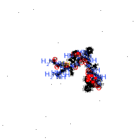 CCCC[C@@H](C(=O)N(C)[C@@H](CCCC)C(=O)N[C@@H](CCCNC(=N)N)C(=O)N[C@@H](CS)C(=O)NCC(N)=O)N(C)C(=O)[C@H](Cc1c[nH]c2ccccc12)NC(=O)[C@H](CO)NC(=O)[C@H](Cc1c[nH]c2ccccc12)NC(=O)CN(C)C(=O)[C@H](CC(C)C)NC(=O)[C@H](Cc1cnc[nH]1)NC(=O)[C@@H]1CCCN1C(=O)[C@H](CC(N)=O)NC(=O)[C@H](C)N(C)C(=O)OCC1c2ccccc2-c2ccccc21